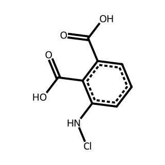 O=C(O)c1cccc(NCl)c1C(=O)O